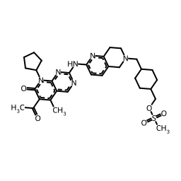 CC(=O)c1c(C)c2cnc(Nc3ccc4c(n3)CCN(CC3CCC(COS(C)(=O)=O)CC3)C4)nc2n(C2CCCC2)c1=O